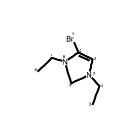 CCN1C=C(Br)N(CC)C1